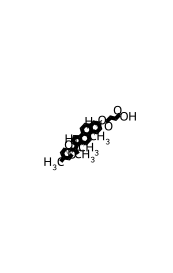 CC1CC[C@@]2(OC1)O[C@H]1CC3C4CC[C@@H]5C[C@H](OC(=O)CCC(=O)O)CC[C@]5(C)C4CC[C@]3(C)C1C2C